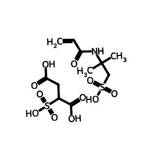 C=CC(=O)NC(C)(C)CS(=O)(=O)O.O=C(O)CC(C(=O)O)S(=O)(=O)O